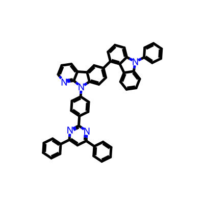 c1ccc(-c2cc(-c3ccccc3)nc(-c3ccc(-n4c5ccc(-c6cccc7c6c6ccccc6n7-c6ccccc6)cc5c5cccnc54)cc3)n2)cc1